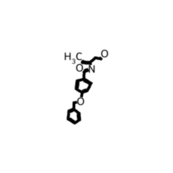 Cc1oc(-c2ccc(OCc3ccccc3)cc2)nc1CC=O